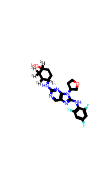 [2H]C1C([2H])(Nc2ncc3nc(Nc4c(F)cc(F)cc4F)n(C4CCOC4)c3n2)CCC([2H])(O)C1([2H])[2H]